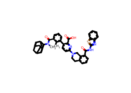 Cc1c(C(=O)N(C)C2C3CC4CC(C3)CC2C4)cccc1-c1ccc(N2CCc3cccc(C(=O)Nc4nc5ccccc5s4)c3C2)nc1C(=O)O